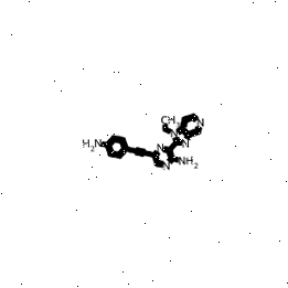 CCn1c(-c2nc(C#Cc3ccc(N)cc3)cnc2N)nc2cnccc21